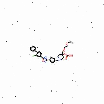 COCCOCC1(OC(=O)O)CCN(Cc2ccc(-c3noc(-c4ccc(-c5ccccc5)c(Cl)c4)n3)cc2)CC1